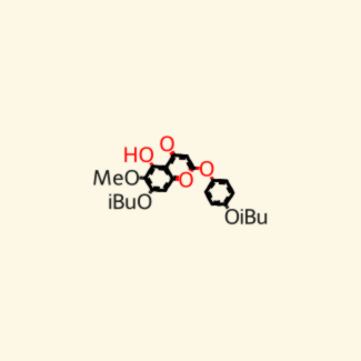 COc1c(OCC(C)C)cc2oc(Oc3ccc(OCC(C)C)cc3)cc(=O)c2c1O